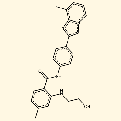 Cc1ccc(C(=O)Nc2ccc(-c3cn4cccc(C)c4n3)cc2)c(NCCO)c1